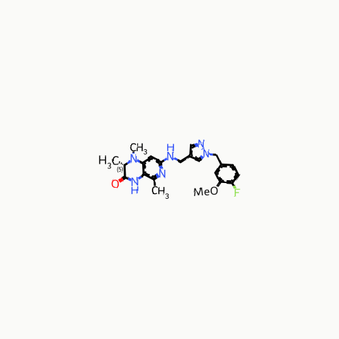 COc1cc(Cn2cc(CNc3cc4c(c(C)n3)NC(=O)[C@H](C)N4C)cn2)ccc1F